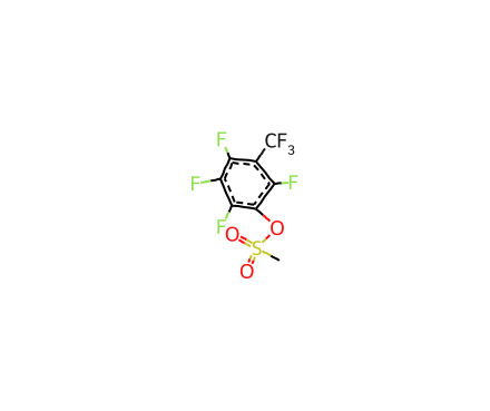 CS(=O)(=O)Oc1c(F)c(F)c(F)c(C(F)(F)F)c1F